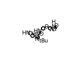 CC(C)(C)c1cc(NC(=O)Nc2ccc(Oc3ccnc(NS(C)(=O)=O)c3)cc2)n(-c2ccc3c(c2)CCNC3)n1